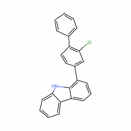 Clc1cc(-c2cccc3c2[nH]c2ccccc23)ccc1-c1ccccc1